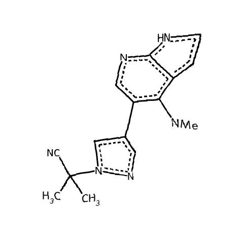 CNc1c(-c2cnn(C(C)(C)C#N)c2)cnc2[nH]ccc12